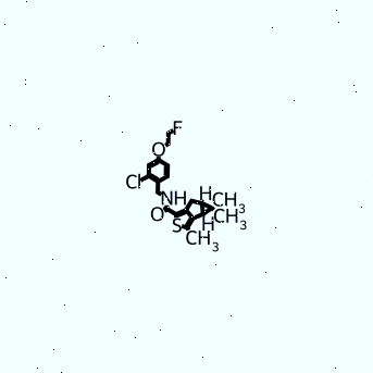 Cc1sc(C(=O)NCc2ccc(OCCF)cc2Cl)c2c1[C@H]1[C@@H](C2)C1(C)C